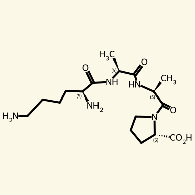 C[C@H](NC(=O)[C@@H](N)CCCCN)C(=O)N[C@@H](C)C(=O)N1CCC[C@H]1C(=O)O